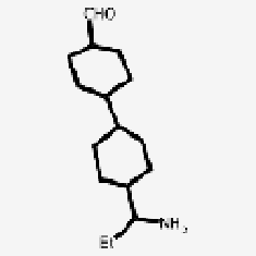 CCC(N)C1CCC(C2CCC(C=O)CC2)CC1